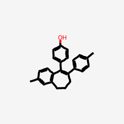 Cc1ccc(C2=C(c3ccc(O)cc3)c3ccc(C)cc3CCC2)cc1